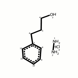 Cl.NN.OCCCc1ccccc1